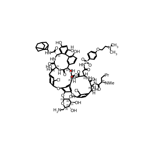 CN[C@H](CC(C)C)C(=O)N[C@H]1C(=O)N[C@@H](CC(=O)NS(=O)(=O)c2ccc(OCCN(C)C)cc2)C(=O)N[C@H]2C(=O)N[C@H]3C(=O)N[C@H](C(=O)N[C@H](C(=O)NC4C5CC6CC(C5)CC4C6)c4cc(O)cc(O)c4-c4cc3ccc4O)[C@H](O)c3ccc(c(Cl)c3)Oc3cc2cc(c3O[C@@H]2O[C@H](CN)[C@@H](O)[C@H](O)[C@H]2O)Oc2ccc(cc2Cl)[C@H]1O